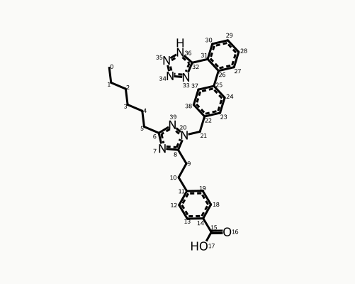 CCCCCCc1nc(CCc2ccc(C(=O)O)cc2)n(Cc2ccc(-c3ccccc3-c3nnn[nH]3)cc2)n1